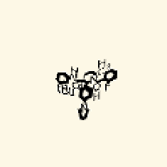 CC1C=CC=C(F)C1C(O)N1CCC[C@H]([C@H](O)Nc2cccc(C(C)(C)C)c2)C1c1ccc(N2CCCC2)cc1